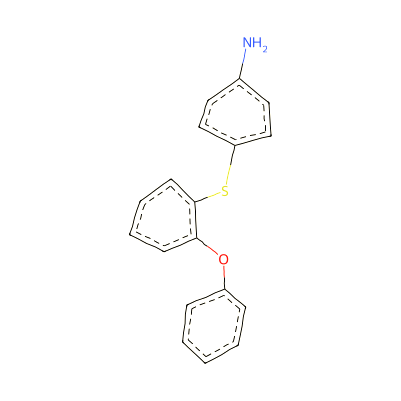 Nc1ccc(Sc2ccccc2Oc2ccccc2)cc1